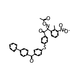 CC(=O)O/N=C(\C(=O)c1ccc(Sc2ccc(C(=O)c3ccc(-c4ccccc4)cc3)cc2)cc1)c1cccc([N+](=O)[O-])c1C